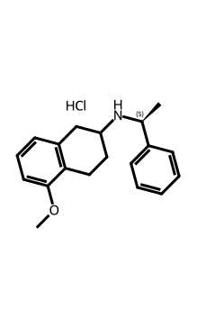 COc1cccc2c1CCC(N[C@@H](C)c1ccccc1)C2.Cl